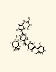 Cc1ccnc(C)c1-c1ccc(NC(=O)C(NC(=O)c2ccc3n2CCN(C)C3)[C@H]2CCCC(F)(F)C2)cc1